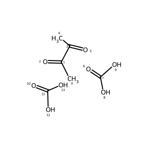 CC(=O)C(C)=O.O=C(O)O.O=C(O)O